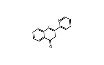 O=C1CC(c2ccccn2)=Nc2ccccc21